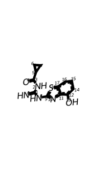 N=C(NC(=O)C1CC1)Nc1nc2c(O)cccc2s1